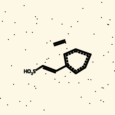 C=C.O=S(=O)(O)C=Cc1ccccc1